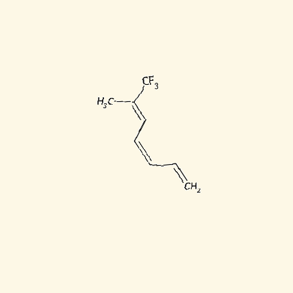 C=C/C=C\C=C(/C)C(F)(F)F